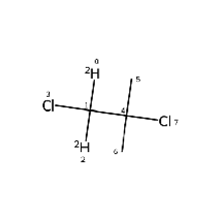 [2H]C([2H])(Cl)C(C)(C)Cl